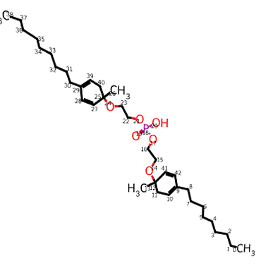 CCCCCCCCCC1=CCC(C)(OCCOP(=O)(O)OCCOC2(C)C=CC(CCCCCCCCC)=CC2)C=C1